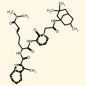 Cc1c(C(=O)NC(CC/C=C/C(=O)N(C)C)C(=O)Nc2cccn(CC(=O)NC34CC(C)CC(CC(C)(C)C3)C4)c2=O)oc2ccccc12